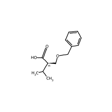 CC(C)[C@H](COCc1ccccc1)C(=O)O